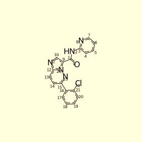 O=C(Nc1ccccn1)c1cnc2ccc(-c3ccccc3Cl)nn12